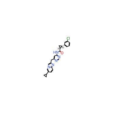 O=C(Nc1cc(Cc2cn3cc(C4CC4)ccc3n2)ncn1)[C@H]1C[C@@H]1c1cccc(Cl)c1